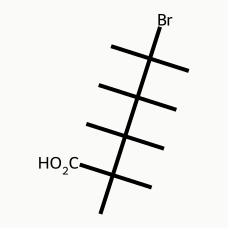 CC(C)(Br)C(C)(C)C(C)(C)C(C)(C)C(=O)O